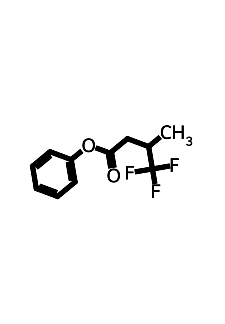 CC(CC(=O)Oc1ccccc1)C(F)(F)F